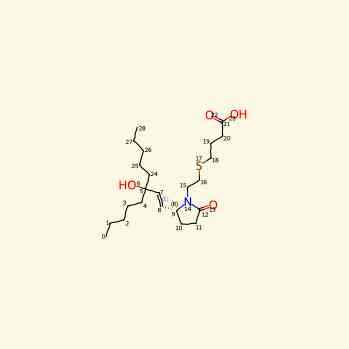 CCCCCC(O)(/C=C/[C@H]1CCC(=O)N1CCSCCCC(=O)O)CCCCC